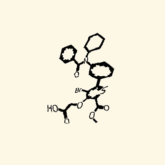 COC(=O)c1sc(-c2cccc(N(C(=O)c3ccccc3)C3CCCCC3)c2)c(Br)c1OCC(=O)O